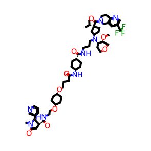 CO[C@@H]1COCC[C@@H]1N(CCCNC(=O)[C@H]1CC[C@H](NC(=O)CCCO[C@H]2CC[C@H](OCCNC(=O)[C@H]3CC(=O)N(C)C3c3cccnc3)CC2)CC1)[C@@H]1CC[C@@](C(=O)N2CCc3ncc(C(F)(F)F)cc3C2)(C(C)C)C1